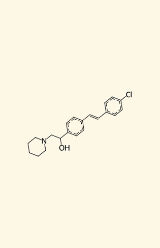 OC(CN1CCCCC1)c1ccc(/C=C/c2ccc(Cl)cc2)cc1